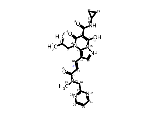 CC(C)Cn1c(=O)c(C(=O)NC2CC2)c(O)n2ncc(/C=C/C(=O)N(C)Cc3ncccn3)c12